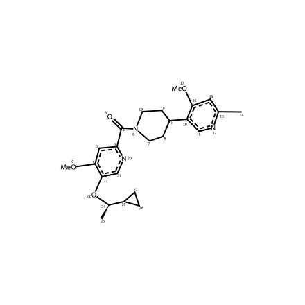 COc1cc(C(=O)N2CCC(c3cnc(C)cc3OC)CC2)ncc1O[C@H](C)C1CC1